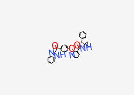 O=C(c1ccc(Oc2ncccc2C(=O)NC2(Cc3ccccc3)CC2)cc1)c1nc2ccccc2[nH]1